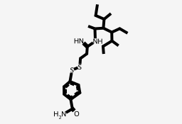 CCC(C)C(CC)C(C(C)CC)C(C)NC(=N)CCSSc1ccc(C(N)=O)cc1